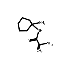 C=C(N)C(=O)NC1(N)CCCCC1